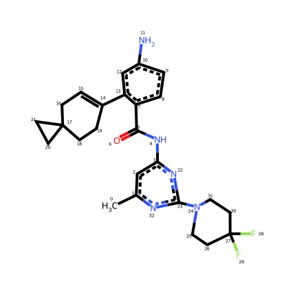 Cc1cc(NC(=O)c2ccc(N)cc2C2=CCC3(CC2)CC3)nc(N2CCC(F)(F)CC2)n1